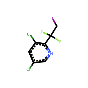 FC(F)(CI)c1ncc(Cl)cc1Cl